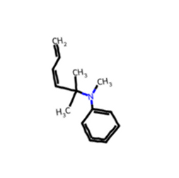 C=C/C=C\C(C)(C)N(C)C1=CC=C=C=C1